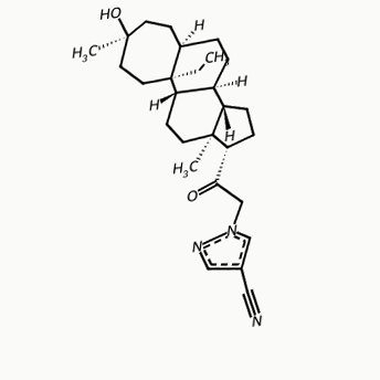 CC[C@]12CC[C@@](C)(O)CC[C@H]1CC[C@H]1[C@@H]3CC[C@H](C(=O)Cn4cc(C#N)cn4)[C@@]3(C)CC[C@@H]12